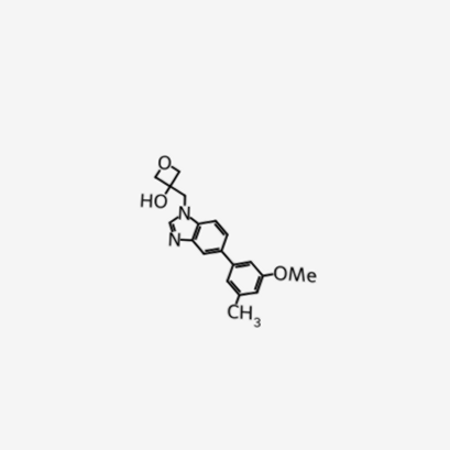 COc1cc(C)cc(-c2ccc3c(c2)ncn3CC2(O)COC2)c1